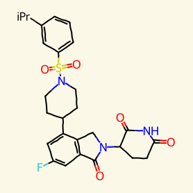 CC(C)c1cccc(S(=O)(=O)N2CCC(c3cc(F)cc4c3CN(C3CCC(=O)NC3=O)C4=O)CC2)c1